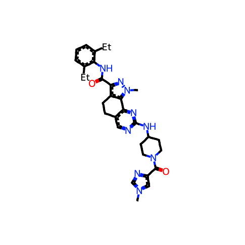 CCc1cccc(CC)c1NC(=O)c1nn(C)c2c1CCc1cnc(NC3CCN(C(=O)c4cn(C)cn4)CC3)nc1-2